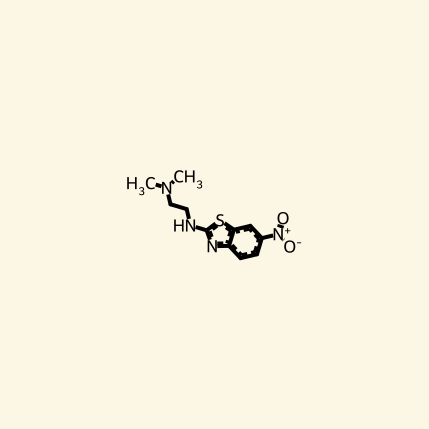 CN(C)CCNc1nc2ccc([N+](=O)[O-])cc2s1